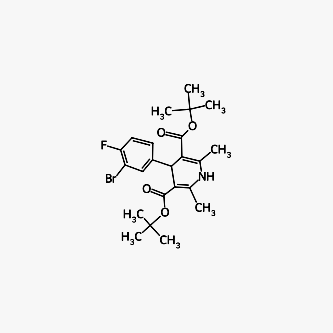 CC1=C(C(=O)OC(C)(C)C)C(c2ccc(F)c(Br)c2)C(C(=O)OC(C)(C)C)=C(C)N1